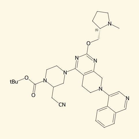 CN1CCC[C@H]1COc1nc2c(c(N3CCN(C(=O)OC(C)(C)C)C(CC#N)C3)n1)CCN(c1cncc3ccccc13)C2